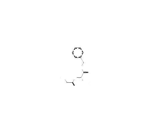 C[C@H](O)C(=O)O[C@H](C)C(=O)OCc1ccccc1